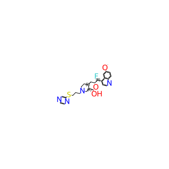 COc1ccc2nccc([C@H](F)CC[C@@H]3CCN(CCCSc4cnccn4)C[C@@H]3C(=O)O)c2c1